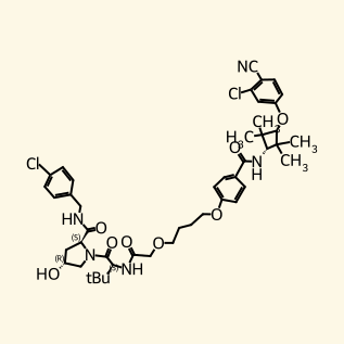 CC(C)(C)[C@H](NC(=O)COCCCCOc1ccc(C(=O)N[C@H]2C(C)(C)[C@H](Oc3ccc(C#N)c(Cl)c3)C2(C)C)cc1)C(=O)N1C[C@H](O)C[C@H]1C(=O)NCc1ccc(Cl)cc1